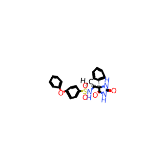 C[C@@H](NS(=O)(=O)c1ccc(Oc2ccccc2)cc1)[C@@]1(c2ccccc2)NC(=O)NC1=O